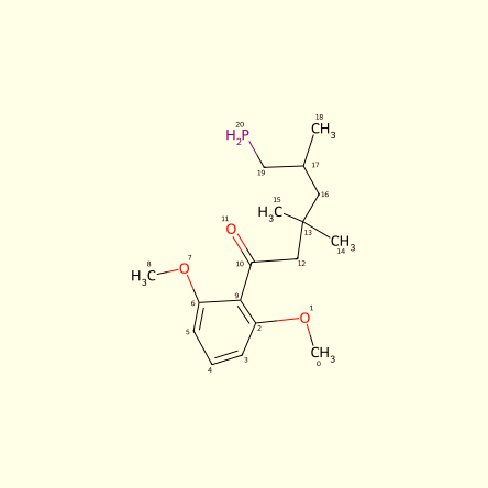 COc1cccc(OC)c1C(=O)CC(C)(C)CC(C)CP